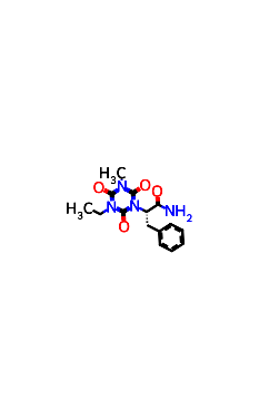 CCn1c(=O)n(C)c(=O)n([C@@H](Cc2ccccc2)C(N)=O)c1=O